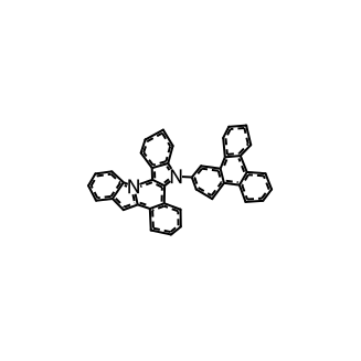 c1ccc2c(c1)cc1c3ccccc3c3c(c4ccccc4n3-c3ccc4c5ccccc5c5ccccc5c4c3)n21